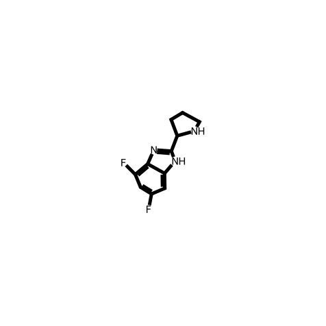 Fc1cc(F)c2nc(C3CCCN3)[nH]c2c1